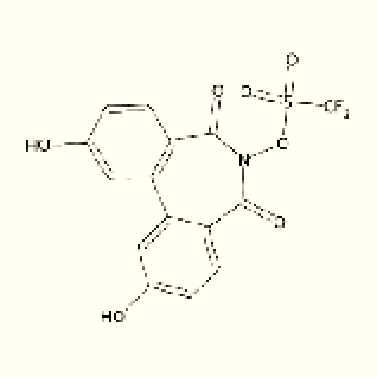 O=c1c2ccc(O)cc2c2cc(O)ccc2c(=O)n1OS(=O)(=O)C(F)(F)F